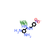 Cl.Cl.Cl.N=C(NC=Cc1ccc([N+](=O)[O-])cc1)c1cc(N)cc(N)c1